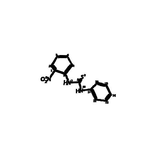 O=[N+]([O-])c1ccccc1NC(=S)Nc1ccccc1